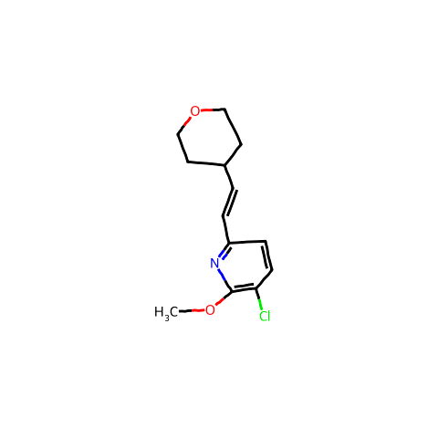 COc1nc(C=CC2CCOCC2)ccc1Cl